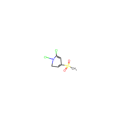 CS(=O)(=O)C1=CCN(Cl)C(Cl)=C1